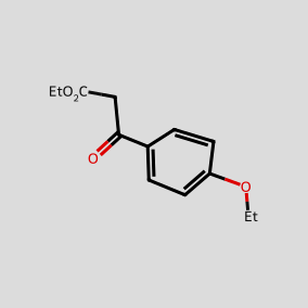 CCOC(=O)CC(=O)c1ccc(OCC)cc1